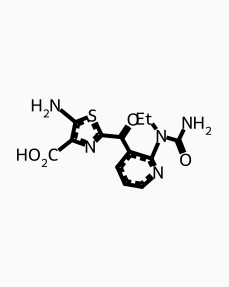 CCN(C(N)=O)c1ncccc1C(=O)c1nc(C(=O)O)c(N)s1